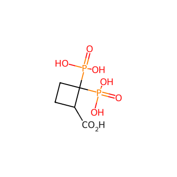 O=C(O)C1CCC1(P(=O)(O)O)P(=O)(O)O